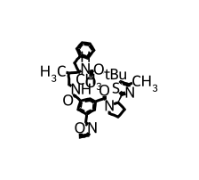 Cc1csc([C@H]2CCCN2C(=O)c2cc(C(=O)NCC(C)[C@@](C)(Cc3ccccc3)NC(=O)OC(C)(C)C)cc(-c3ncco3)c2)n1